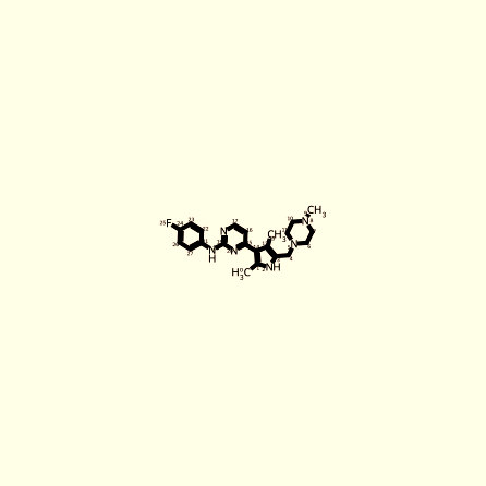 Cc1[nH]c(CN2CCN(C)CC2)c(C)c1-c1ccnc(Nc2ccc(F)cc2)n1